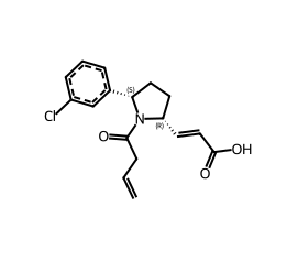 C=CCC(=O)N1[C@@H](C=CC(=O)O)CC[C@H]1c1cccc(Cl)c1